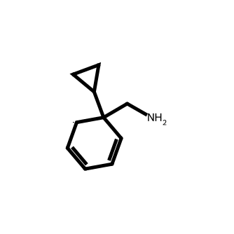 NCC1(C2CC2)[CH]C=CC=C1